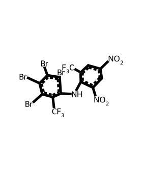 O=[N+]([O-])c1cc([N+](=O)[O-])c(Nc2c(Br)c(Br)c(Br)c(Br)c2C(F)(F)F)c(C(F)(F)F)c1